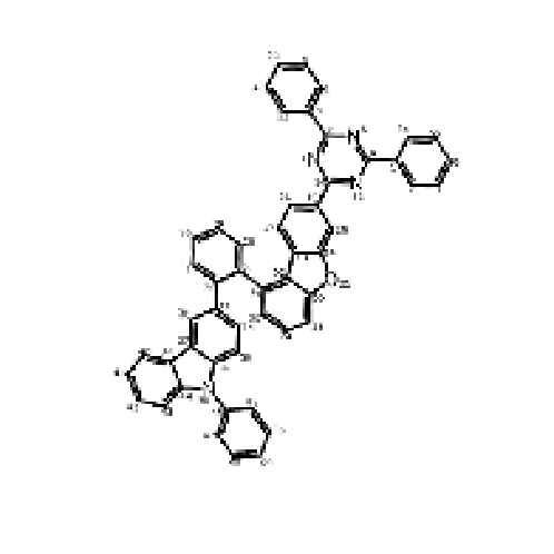 c1ccc(-c2nc(-c3ccccc3)nc(-c3ccc4c(c3)oc3cccc(-c5ccccc5-c5ccc6c(c5)c5ccccc5n6-c5ccccc5)c34)n2)cc1